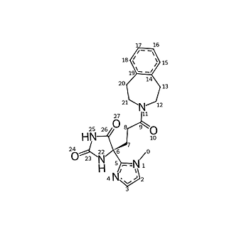 Cn1ccnc1[C@]1(CCC(=O)N2CCc3ccccc3CC2)NC(=O)NC1=O